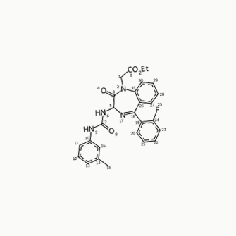 CCOC(=O)CN1C(=O)C(NC(=O)Nc2cccc(C)c2)N=C(c2ccccc2F)c2ccccc21